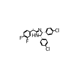 Fc1ccc([CH]C2=N[C@H](c3ccc(Cl)cc3)[C@H](c3ccc(Cl)cc3)N2)cc1F